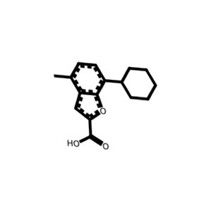 Cc1ccc(C2CCCCC2)c2oc(C(=O)O)cc12